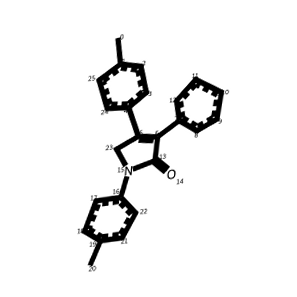 Cc1ccc(C2=C(c3ccccc3)C(=O)N(c3ccc(C)cc3)C2)cc1